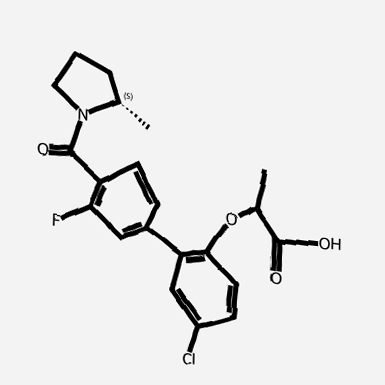 CC(Oc1ccc(Cl)cc1-c1ccc(C(=O)N2CCC[C@@H]2C)c(F)c1)C(=O)O